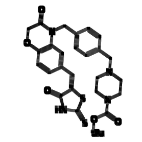 CC(C)(C)OC(=O)N1CCN(Cc2ccc(CN3C(=O)COc4ccc(C=C5SC(=S)NC5=O)cc43)cc2)CC1